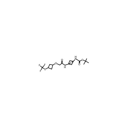 CC(C)(C)OC(=O)NC12CC(NC(=O)COC3CC(OC(F)(F)F)C3)(C1)C2